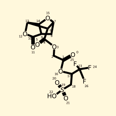 O=C(COC(=O)C1C2CC3C(=O)OC1C3O2)OC(CS(=O)(=O)O)C(F)(F)F